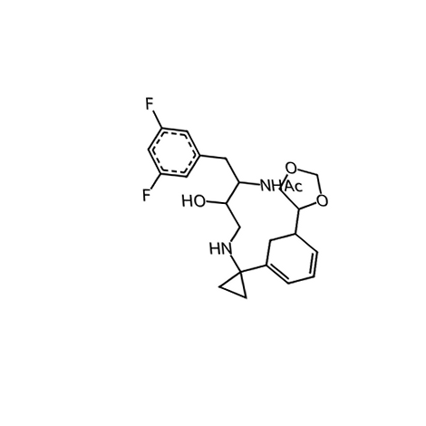 CC(=O)NC(Cc1cc(F)cc(F)c1)C(O)CNC1(C2=CC=CC(C3COCO3)C2)CC1